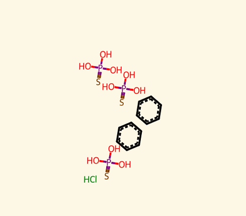 Cl.OP(O)(O)=S.OP(O)(O)=S.OP(O)(O)=S.c1ccccc1.c1ccccc1